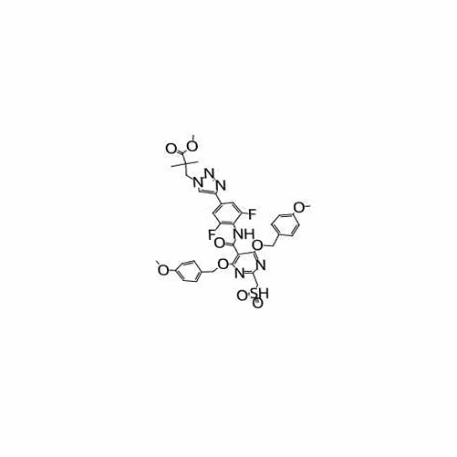 COC(=O)C(C)(C)Cn1cc(-c2cc(F)c(NC(=O)c3c(OCc4ccc(OC)cc4)nc(C[SH](=O)=O)nc3OCc3ccc(OC)cc3)c(F)c2)nn1